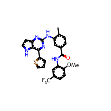 COc1ccc(C(F)(F)F)cc1NC(=O)c1ccc(C)c(Nc2nc(-c3cccs3)c3[nH]ccc3n2)c1